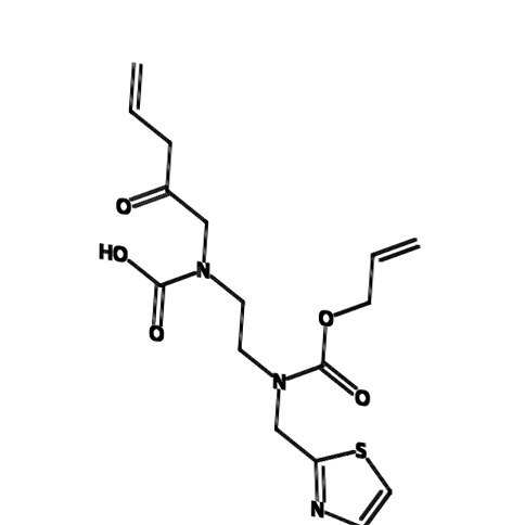 C=CCOC(=O)N(CCN(CC(=O)CC=C)C(=O)O)Cc1nccs1